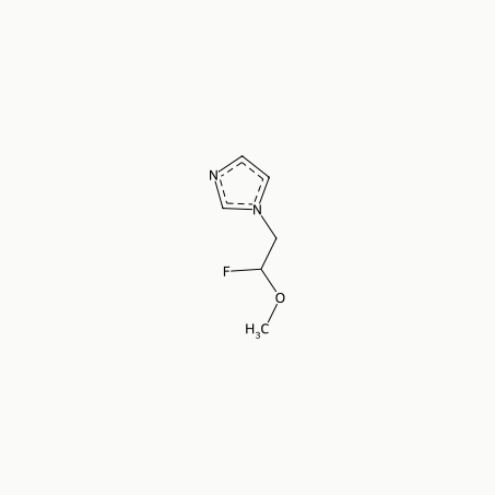 COC(F)Cn1ccnc1